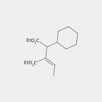 CC=C(C(=O)OCC)C(C(=O)OCC)C1CCCCC1